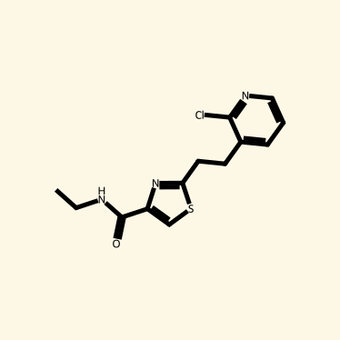 CCNC(=O)c1csc(CCc2cccnc2Cl)n1